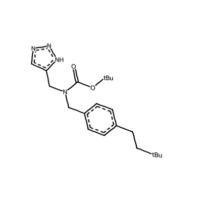 CC(C)(C)CCc1ccc(CN(Cc2cnn[nH]2)C(=O)OC(C)(C)C)cc1